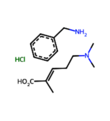 CC(=CCCN(C)C)C(=O)O.Cl.NCc1ccccc1